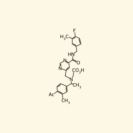 CC(=O)c1ccc([C@H](C)N(CC(=O)O)Cc2cc(C(=O)NCc3ccc(F)c(C)c3)ncn2)cc1C